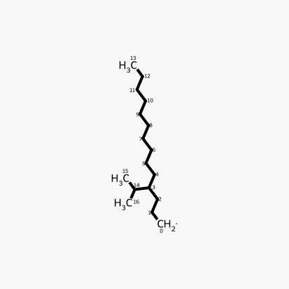 [CH2]CCC(CCCCCCCCCC)C(C)C